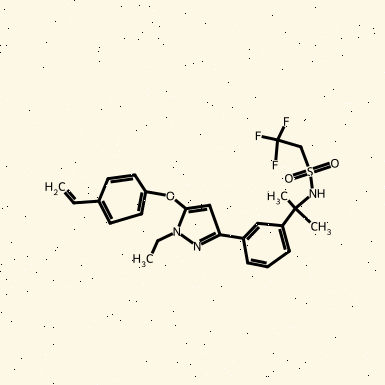 C=Cc1ccc(Oc2cc(-c3cccc(C(C)(C)NS(=O)(=O)CC(F)(F)F)c3)nn2CC)cc1